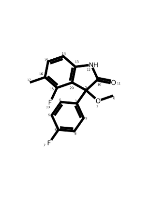 COC1(c2ccc(F)cc2)C(=O)Nc2ccc(C)c(F)c21